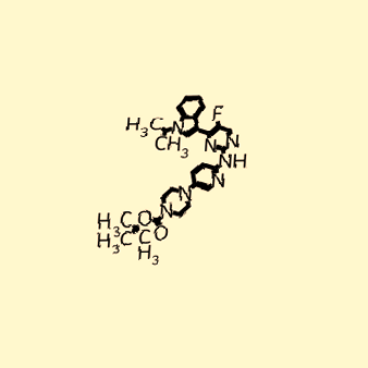 CC(C)n1cc(-c2nc(Nc3ccc(N4CCN(C(=O)OC(C)(C)C)CC4)cn3)ncc2F)c2ccccc21